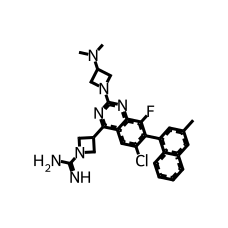 Cc1cc(-c2c(Cl)cc3c(C4CN(C(=N)N)C4)nc(N4CC(N(C)C)C4)nc3c2F)c2ccccc2c1